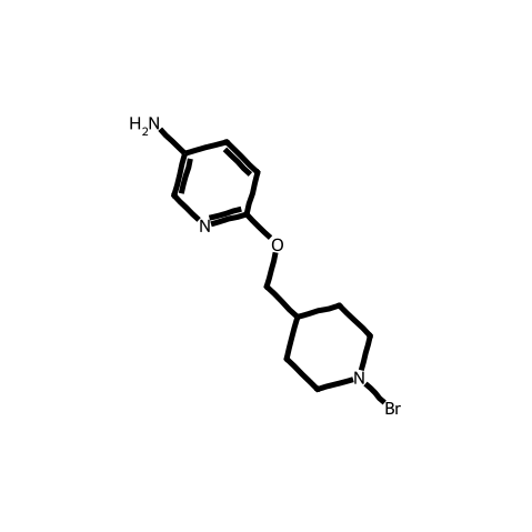 Nc1ccc(OCC2CCN(Br)CC2)nc1